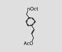 CCCCCCCCCc1ccc(C=CCOC(C)=O)cc1